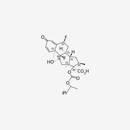 CC(C)C(C)OC(=O)O[C@]1(C(=O)O)[C@H](C)C[C@H]2[C@@H]3C[C@H](F)C4=CC(=O)C=C[C@]4(C)[C@@]3(F)[C@@H](O)C[C@@]21C